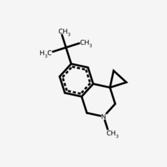 CN1Cc2ccc(C(C)(C)C)cc2C2(CC2)C1